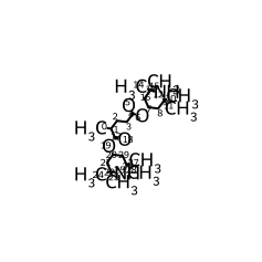 CC(CCC(=O)OC1CC(C)(C)NC(C)(C)C1)C(=O)OC1CC(C)(C)NC(C)(C)C1